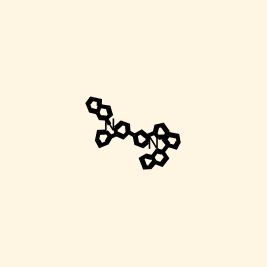 c1ccc(-c2ccc3ccccc3c2-n2c3ccccc3c3cc(-c4ccc5c(c4)c4ccccc4n5-c4ccc5ccccc5c4)ccc32)cc1